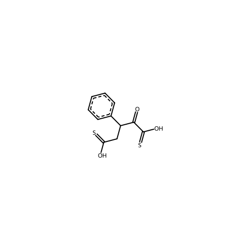 O=C(C(O)=S)C(CC(O)=S)c1ccccc1